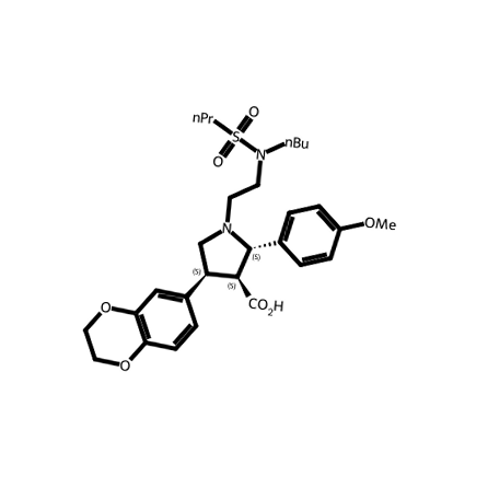 CCCCN(CCN1C[C@H](c2ccc3c(c2)OCCO3)[C@H](C(=O)O)[C@H]1c1ccc(OC)cc1)S(=O)(=O)CCC